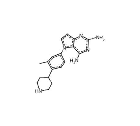 Cc1cc(-n2ccc3nc(N)nc(N)c32)ccc1C1CCNCC1